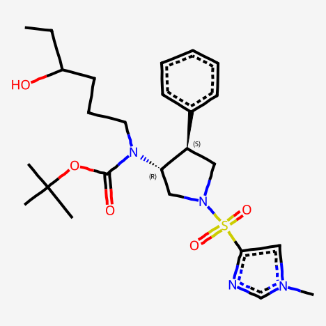 CCC(O)CCCN(C(=O)OC(C)(C)C)[C@H]1CN(S(=O)(=O)c2cn(C)cn2)C[C@@H]1c1ccccc1